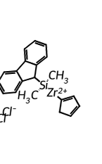 C[Si](C)([Zr+2][C]1=CC=CC1)C1c2ccccc2-c2ccccc21.[Cl-].[Cl-]